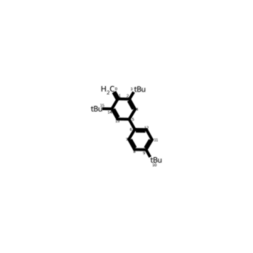 C=C1C(C(C)(C)C)=CC(c2ccc(C(C)(C)C)cc2)C=C1C(C)(C)C